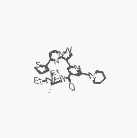 CCN(CC)[C@@H](C)CNC(=O)c1cc(-c2cnn3ccc(-c4cccs4)nc23)nc(N2CCCCC2)c1